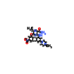 CCc1nc(C(N)=O)c(Nc2cccc(N3CCN(C)CC3)c2)nc1Oc1cccc([N+](=O)[O-])c1